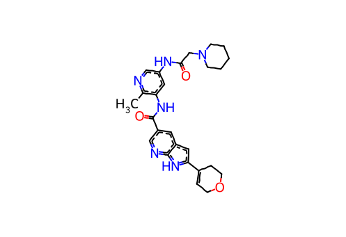 Cc1ncc(NC(=O)CN2CCCCC2)cc1NC(=O)c1cnc2[nH]c(C3=CCOCC3)cc2c1